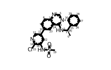 C[C@@H](Nc1ncnc2ccc(-c3cnc(Cl)c(NS(C)(=O)=O)c3)cc12)c1ccccc1